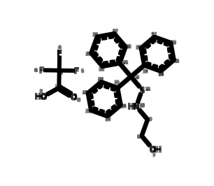 O=C(O)C(F)(F)F.OCCNSC(c1ccccc1)(c1ccccc1)c1ccccc1